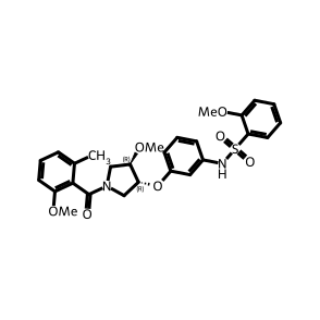 COc1ccccc1S(=O)(=O)Nc1cccc(O[C@@H]2CN(C(=O)c3c(C)cccc3OC)C[C@H]2OC)c1